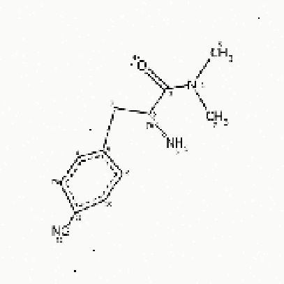 CN(C)C(=O)[C@H](N)Cc1ccc(C#N)cc1